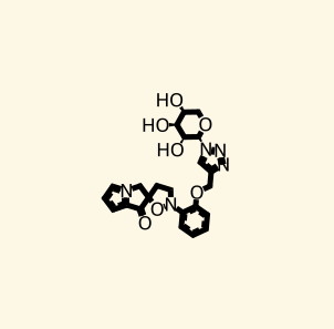 O=C1c2cccn2CC12CCN(c1ccccc1OCc1cn([C@H]3OC[C@H](O)[C@H](O)[C@H]3O)nn1)O2